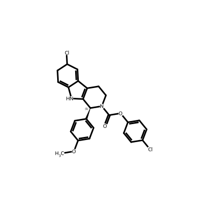 COc1ccc([C@H]2c3[nH]c4c(c3CCN2C(=O)Oc2ccc(Cl)cc2)=CC(Cl)CC=4)cc1